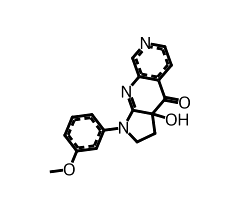 COc1cccc(N2CCC3(O)C(=O)c4ccncc4N=C23)c1